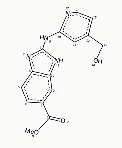 COC(=O)c1ccc2nc(Nc3cc(CO)ccn3)[nH]c2c1